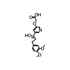 COc1ccc(CC[C@@H](O)c2cncc(OCC(=O)O)c2)cc1OC